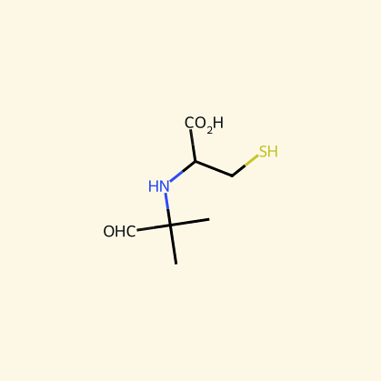 CC(C)(C=O)NC(CS)C(=O)O